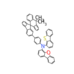 CC1(C)c2ccccc2C2(c3ccccc3-c3ccc(-c4ccc(N(c5cccc6c5oc5ccccc56)c5cccc6c5sc5ccccc56)cc4)cc32)c2ccccc21